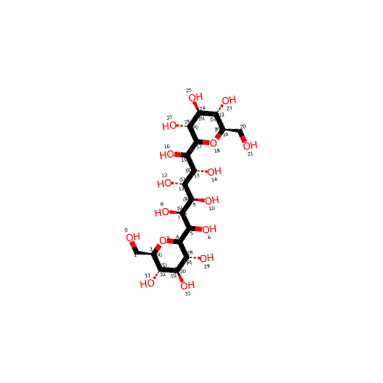 OC[C@H]1OC(C(O)[C@@H](O)[C@H](O)[C@H](O)[C@@H](O)C(O)C2O[C@H](CO)[C@@H](O)[C@H](O)[C@H]2O)[C@H](O)[C@@H](O)[C@@H]1O